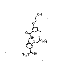 CNC(=O)COc1cc(C(=N)N)ccc1CNC(=O)c1cc(C)cc(OCCO)c1